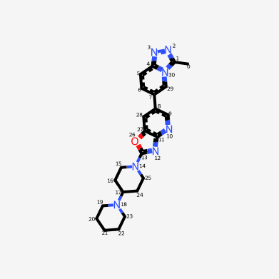 Cc1nnc2ccc(-c3cnc4nc(N5CCC(N6CCCCC6)CC5)oc4c3)cn12